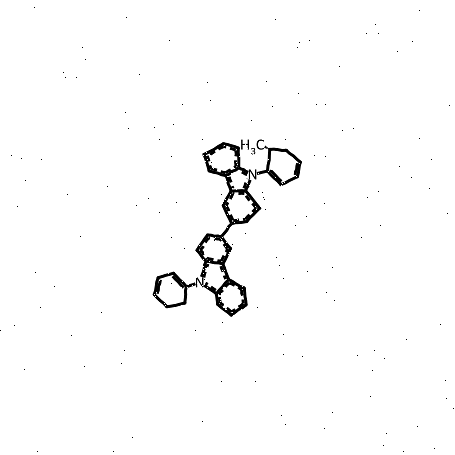 C[C@@H]1CC=CC=C1n1c2ccccc2c2cc(-c3ccc4c(c3)c3ccccc3n4C3=CC=CCC3)ccc21